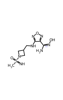 CS(=N)(=O)N1CC(CNc2nonc2/C(N)=N\O)C1